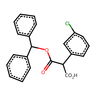 O=C(O)C(C(=O)OC(c1ccccc1)c1ccccc1)c1cccc(Cl)c1